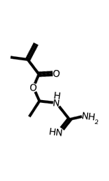 C=C(C)C(=O)OC(C)NC(=N)N